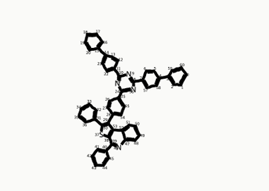 c1ccc(-c2ccc(-c3nc(-c4ccc(-c5ccccc5)cc4)nc(-c4ccc(-c5c(-c6ccccc6)sc6c(-c7ccccc7)nc7ccccc7c56)cc4)n3)cc2)cc1